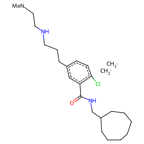 CNCCNCCCc1ccc(Cl)c(C(=O)NC[C]2CCCCCCC2)c1.[CH2].[CH2]